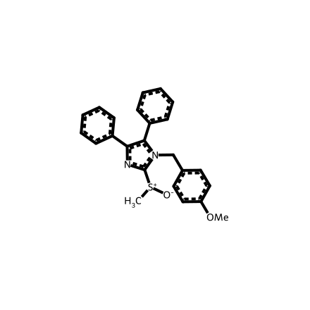 COc1ccc(Cn2c([S+](C)[O-])nc(-c3ccccc3)c2-c2ccccc2)cc1